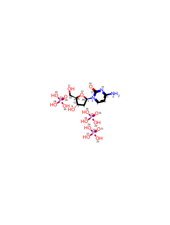 Nc1ccn([C@H]2C[C@H](O)[C@@H](CO)O2)c(=O)n1.O=P(O)(O)O.O=P(O)(O)O.O=P(O)(O)O